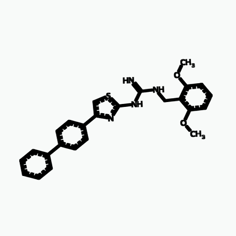 COc1cccc(OC)c1CNC(=N)Nc1nc(-c2ccc(-c3ccccc3)cc2)cs1